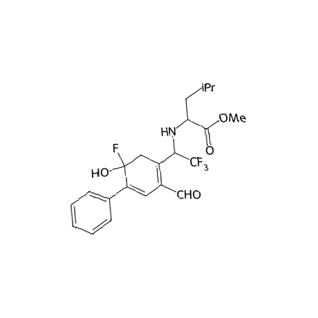 COC(=O)C(CC(C)C)NC(C1=C(C=O)C=C(c2ccccc2)C(O)(F)C1)C(F)(F)F